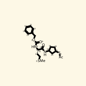 CSCC[C@H](NC(=O)OCc1ccccc1)C(=O)NC1CCC(SC(C)=O)C1